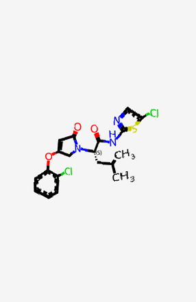 CC(C)C[C@@H](C(=O)Nc1ncc(Cl)s1)N1CC(Oc2ccccc2Cl)=CC1=O